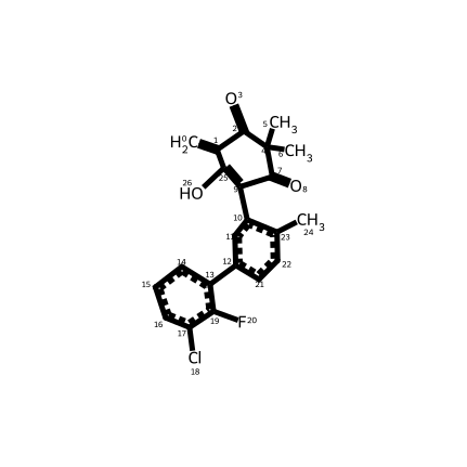 C=C1C(=O)C(C)(C)C(=O)C(c2cc(-c3cccc(Cl)c3F)ccc2C)=C1O